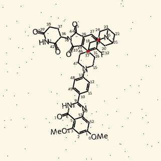 COc1cc(OC)c2c(=O)[nH]c(-c3ccc(N4CCC(CN5CC6CC(C5)N6c5cc6c(cc5F)C(=O)N(C5CCC(=O)NC5=O)C6=O)CC4)cc3)nc2c1